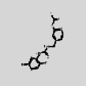 O=C(NCc1ccnc(OC(F)F)c1)Nc1cc(F)ccc1F